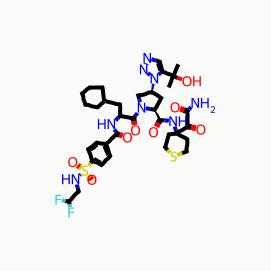 CC(C)(O)c1cnnn1[C@H]1C[C@@H](C(=O)NC2(C(=O)C(N)=O)CCSCC2)N(C(=O)C(CC2CCCCC2)NC(=O)c2ccc(S(=O)(=O)NCC(F)F)cc2)C1